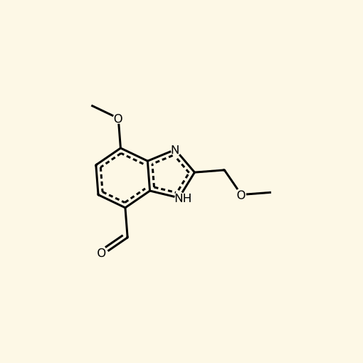 COCc1nc2c(OC)ccc(C=O)c2[nH]1